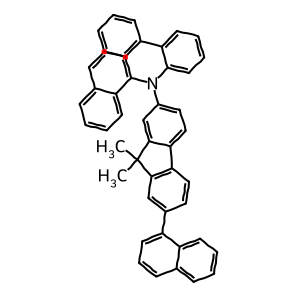 CC1(C)c2cc(-c3cccc4ccccc34)ccc2-c2ccc(N(c3ccccc3-c3ccccc3)c3cccc4ccccc34)cc21